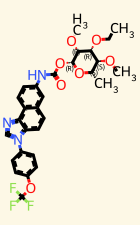 CCO[C@@H]1[C@@H](OC)[C@H](C)O[C@H](OC(=O)Nc2ccc3c(ccc4c3ncn4-c3ccc(OC(F)(F)F)cc3)c2)[C@@H]1OC